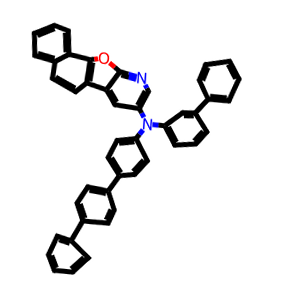 c1ccc(-c2ccc(-c3ccc(N(c4cccc(-c5ccccc5)c4)c4cnc5oc6c7ccccc7ccc6c5c4)cc3)cc2)cc1